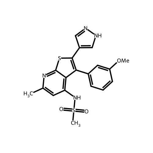 COc1cccc(-c2c(-c3cn[nH]c3)sc3nc(C)cc(NS(C)(=O)=O)c23)c1